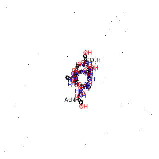 CC(=O)N[C@@H](Cc1ccc(O)cc1)C(=O)NCC(=O)NCC(=O)N[C@@H]1C(=O)N[C@@H](Cc2ccccc2)C(=O)N[C@H]2CCCCNC(=O)CC[C@@H](C(=O)N[C@@H](Cc3ccc(O)cc3)C(=O)O)NC(=O)[C@@H]3CCC(=O)OC[C@H](NC(=O)[C@@H]4CCCN4C(=O)[C@H](Cc4ccc(O)cc4)NC2=O)C(=O)N[C@@H](CC(=O)O[C@@H]1C)C(=O)N[C@@H](Cc1c[nH]c2ccccc12)C(=O)N3